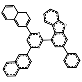 C1=CC2=CC(c3nc(-c4ccc5ccccc5c4)nc(-c4cc(-c5ccccc5)cc5oc6ccccc6c45)n3)=CCC2C=C1